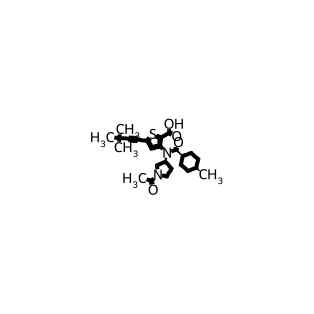 CC(=O)N1CC[C@H](N(c2cc(C#CC(C)(C)C)sc2C(=O)O)C(=O)[C@H]2CC[C@H](C)CC2)C1